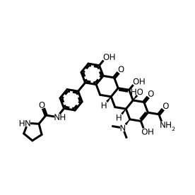 CN(C)[C@@H]1C(O)=C(C(N)=O)C(=O)[C@@]2(O)C(O)=C3C(=O)c4c(O)ccc(-c5ccc(NC(=O)C6CCCN6)cc5)c4C[C@H]3C[C@@H]12